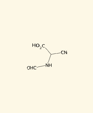 N#CC(NC=O)C(=O)O